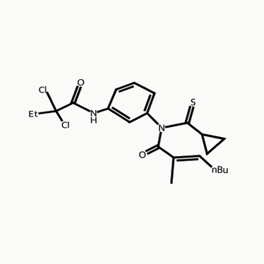 CCCCC=C(C)C(=O)N(C(=S)C1CC1)c1cccc(NC(=O)C(Cl)(Cl)CC)c1